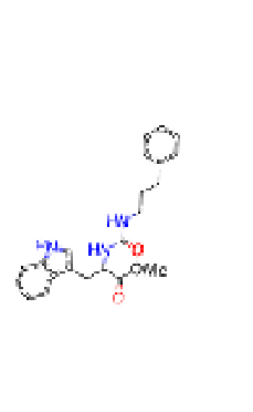 COC(=O)C(Cc1c[nH]c2ccccc12)NC(=O)NCCCc1ccccc1